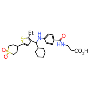 CCc1sc(C2CCS(=O)(=O)CC2)cc1C(Nc1ccc(C(=O)NCCC(=O)O)cc1)C1CCCCC1